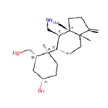 C=C1CC[C@H]2[C@H](CN)[C@@H]([C@@]3(C)CC[C@H](O)C[C@@H]3CO)CCC12C